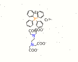 CCc1ccccc1[P+](c1ccccc1)(c1ccccc1)c1ccccc1.O=C([O-])CN(CCN(CC(=O)[O-])CC(=O)[O-])CC(=O)[O-].[Cr+3]